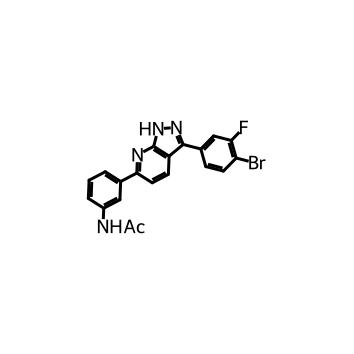 CC(=O)Nc1cccc(-c2ccc3c(-c4ccc(Br)c(F)c4)n[nH]c3n2)c1